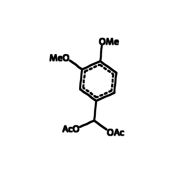 COc1ccc(C(OC(C)=O)OC(C)=O)cc1OC